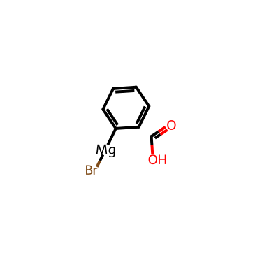 O=CO.[Br][Mg][c]1ccccc1